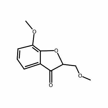 COCC1Oc2c(OC)cccc2C1=O